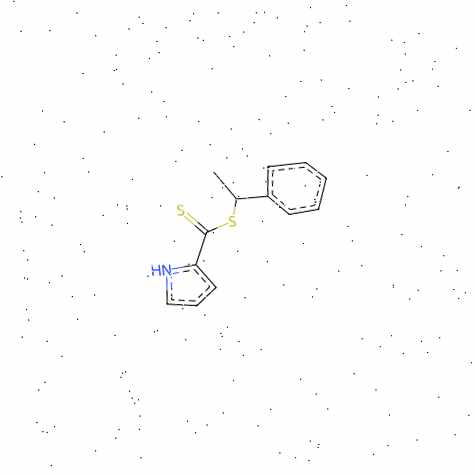 CC(SC(=S)c1ccc[nH]1)c1ccccc1